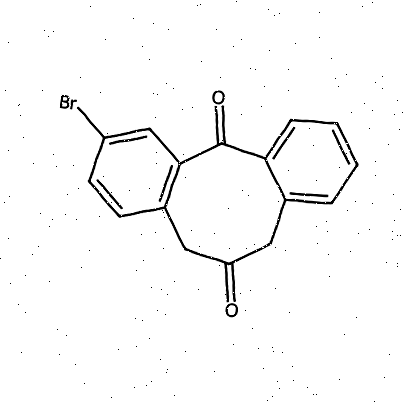 O=C1Cc2ccccc2C(=O)c2cc(Br)ccc2C1